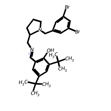 CC(C)(C)c1cc(/C=N/CC2CCCN2Cc2cc(Br)cc(Br)c2)c(O)c(C(C)(C)C)c1